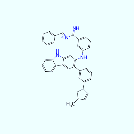 CC1C=CC(c2cccc(-c3cc4c(cc3Nc3cccc(C(=N)/N=C/c5ccccc5)c3)[nH]c3ccccc34)c2)C1